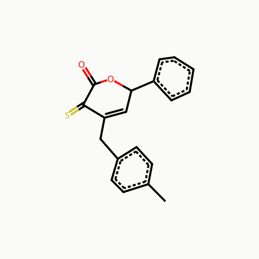 Cc1ccc(CC2=CC(c3ccccc3)OC(=O)C2=S)cc1